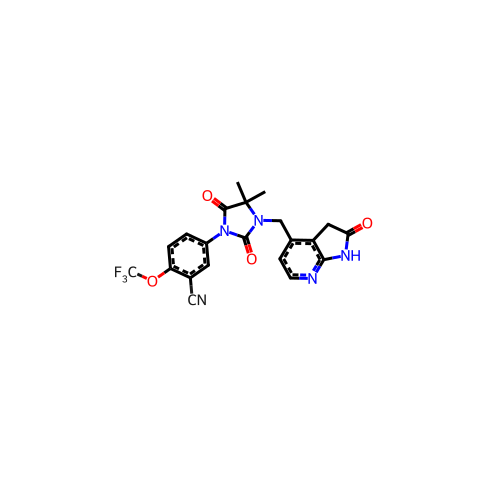 CC1(C)C(=O)N(c2ccc(OC(F)(F)F)c(C#N)c2)C(=O)N1Cc1ccnc2c1CC(=O)N2